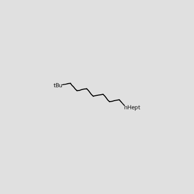 [CH2]C(C)(C)CCCCCCCCCCCCCC